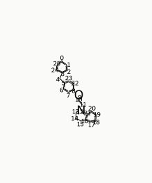 c1ccc(Cc2ccc(OCCN3CCCc4ccccc43)cc2)cc1